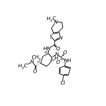 CN1CCc2nc(C(=O)N[C@@H]3C[C@@H](C(=O)N(C)C)CC[C@@H]3NS(=O)(=O)Nc3ccc(Cl)cc3)sc2C1